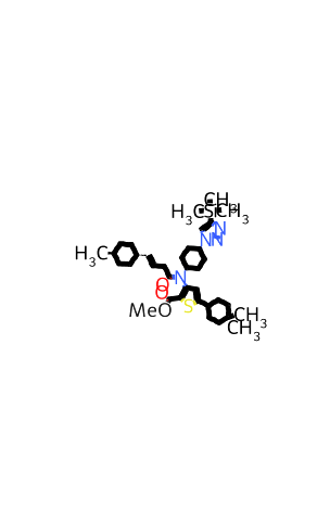 COC(=O)c1sc(C2CCC(C)(C)CC2)cc1N(C(=O)CC=C[C@H]1CC[C@H](C)CC1)[C@H]1CC[C@H](n2cc([Si](C)(C)C)nn2)CC1